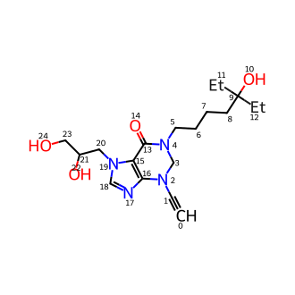 C#CN1CN(CCCCC(O)(CC)CC)C(=O)c2c1ncn2CC(O)CO